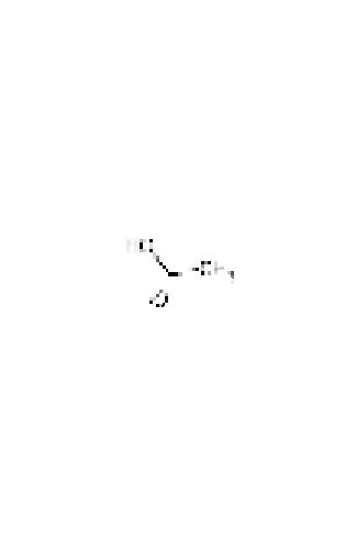 CCO.[O]